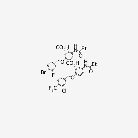 CCC(=O)Nc1ccc(OCc2ccc(Br)c(F)c2)cc1C(=O)O.CCC(=O)Nc1ccc(OCc2ccc(C(F)(F)F)c(Cl)c2)cc1C(=O)O